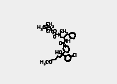 COCCCC[C@@](O)(c1cccc(Cl)c1)[C@@H]1CCCN(C(=O)NC(CC2CCCCC2)CN(C)C(=O)OCC[Si](C)(C)C)C1